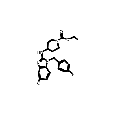 CCOC(=O)N1CCC(Nc2nc3cc(Cl)ccc3n2Cc2ccc(F)cc2)CC1